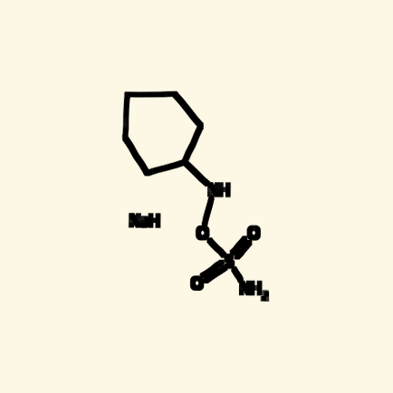 NS(=O)(=O)ONC1CCCCC1.[NaH]